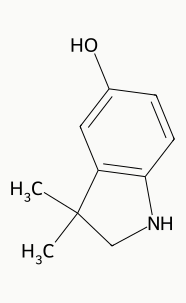 CC1(C)CNc2ccc(O)cc21